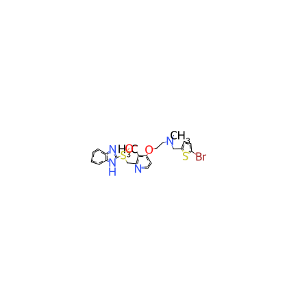 Cc1c(OCCN(C)Cc2ccc(Br)s2)ccnc1C[S+]([O-])c1nc2ccccc2[nH]1